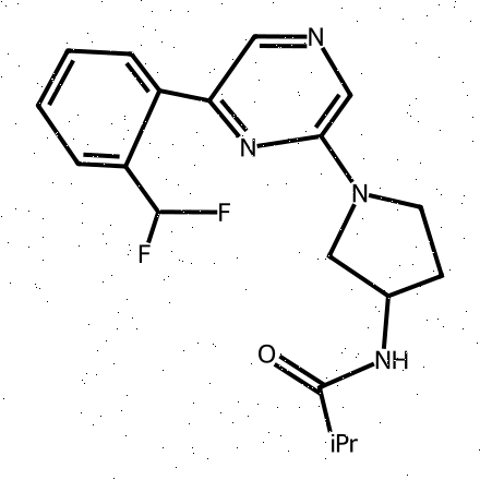 CC(C)C(=O)NC1CCN(c2cncc(-c3ccccc3C(F)F)n2)C1